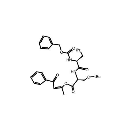 CC(=CC(=O)c1ccccc1)OC(=O)[C@H](COC(C)(C)C)NC(=O)[C@H](CC(C)C)NC(=O)OCc1ccccc1